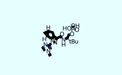 C=N/C=C(\N=C/C)n1nc(C(=O)N[C@H](COP(=O)(O)O)C(C)(C)C)c2c1[C@@H]1C[C@@H]1C2